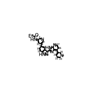 CCC(=O)Nc1cncc(-c2ccc3[nH]nc(-c4nc5c(-c6cccnc6)ccnc5[nH]4)c3c2)c1